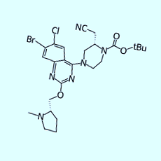 CN1CCC[C@H]1COc1nc(N2CCN(C(=O)OC(C)(C)C)[C@@H](CC#N)C2)c2cc(Cl)c(Br)cc2n1